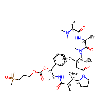 CC[C@H](C)[C@@H]([C@@H](CC(=O)N1CCC[C@H]1[C@@H](OC)[C@@H](C)C(=O)N[C@H](C)[C@@H](OC(=O)OCCC[SH](C)(C)=O)c1ccccc1)OC)N(C)C(=O)[C@@H](NC(=O)[C@H](C(C)C)N(C)C)C(C)C